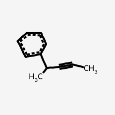 CC#CC(C)c1ccccc1